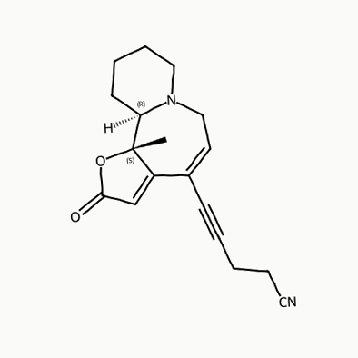 C[C@]12OC(=O)C=C1C(C#CCCC#N)=CCN1CCCC[C@@H]12